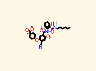 CCCCCCNC(=O)[C@H]1[C@@H]2CC[C@@H](C2)[C@H]1NC(=O)c1cc(O[C@H]2CC[C@@](C)(C(=O)OC)CC2)c(C#N)cc1OC